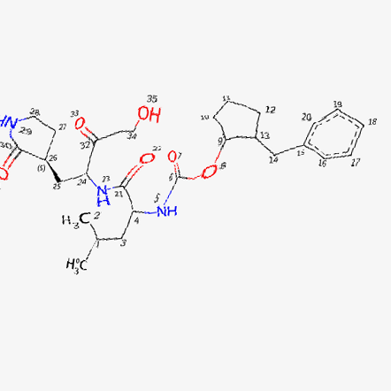 CC(C)CC(NC(=O)OC1CCCC1Cc1ccccc1)C(=O)NC(C[C@@H]1CCNC1=O)C(=O)CO